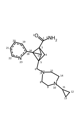 NC(=O)C12CC(CN3CCN(C4CC4)CC3)(C1)C2c1ccccn1